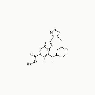 Cc1c(C(=O)OC(C)C)cc2cc(-c3nccn3C)cn2c1C(C)N1CCOCC1